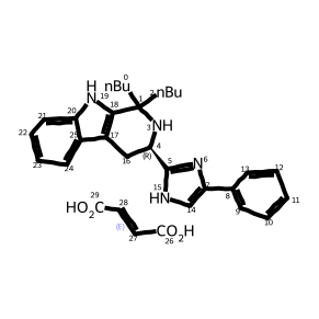 CCCCC1(CCCC)N[C@@H](c2nc(-c3ccccc3)c[nH]2)Cc2c1[nH]c1ccccc21.O=C(O)/C=C/C(=O)O